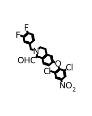 O=CC1c2ccc(Oc3c(Cl)cc([N+](=O)[O-])cc3Cl)cc2CCN1Cc1ccc(F)c(F)c1